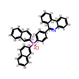 O=P(c1ccc(-c2nc3ccccc3c3ccccc23)cc1)(c1ccc2ccccc2c1)c1ccc2ccccc2c1